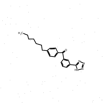 CCCCCCCc1ccc(C(=O)c2cccc(-c3nnn[nH]3)c2)cc1